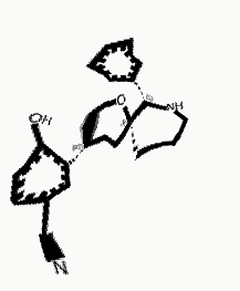 N#Cc1ccc(O)c([C@@H]2CO[C@]3(CCCN[C@H]3c3ccccc3)C2)c1